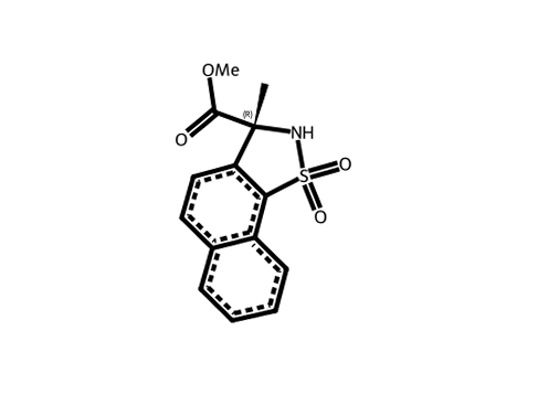 COC(=O)[C@]1(C)NS(=O)(=O)c2c1ccc1ccccc21